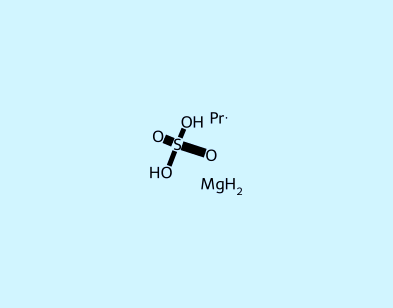 O=S(=O)(O)O.[MgH2].[Pr]